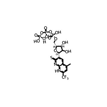 Cc1cc(C(F)(F)F)[nH]c2nc(=S)c([C@@H]3O[C@H](COP(=O)(O)OP(=O)(O)OP(=O)(O)O)[C@H](O)C3O)cc1-2